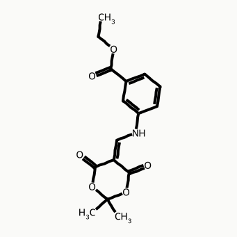 CCOC(=O)c1cccc(NC=C2C(=O)OC(C)(C)OC2=O)c1